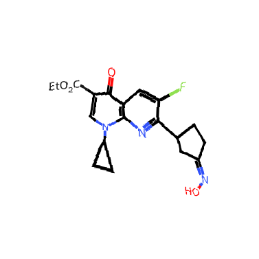 CCOC(=O)c1cn(C2CC2)c2nc(C3CCC(=NO)C3)c(F)cc2c1=O